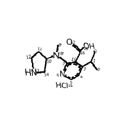 CC(C)c1ccnc(N(C)[C@@H]2CCNC2)c1C(=O)O.Cl